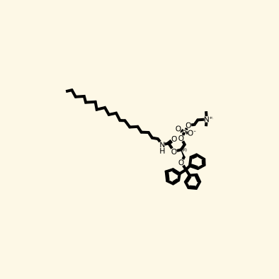 CCCCCCCCCCCCCCCCCCNC(=O)O[C@H](COC(c1ccccc1)(c1ccccc1)c1ccccc1)COP(=O)([O-])OCC[N+](C)(C)C